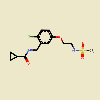 O=C(NCc1cc(OCCNS(=O)(=O)C(F)(F)F)ccc1Cl)C1CC1